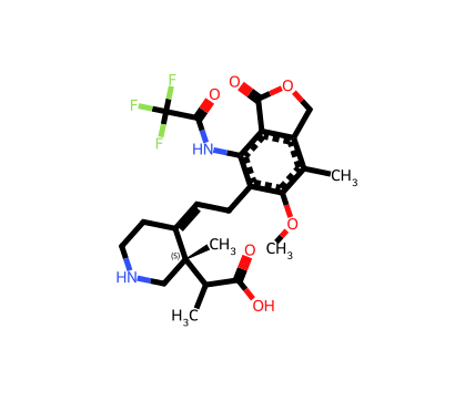 COc1c(C)c2c(c(NC(=O)C(F)(F)F)c1CC=C1CCNC[C@@]1(C)C(C)C(=O)O)C(=O)OC2